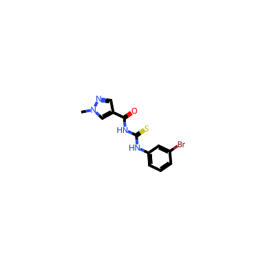 Cn1cc(C(=O)NC(=S)Nc2cccc(Br)c2)cn1